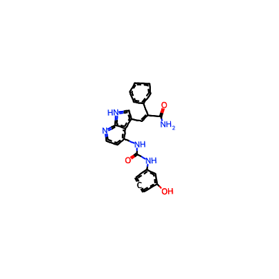 NC(=O)/C(=C/c1c[nH]c2nccc(NC(=O)Nc3cccc(O)c3)c12)c1ccccc1